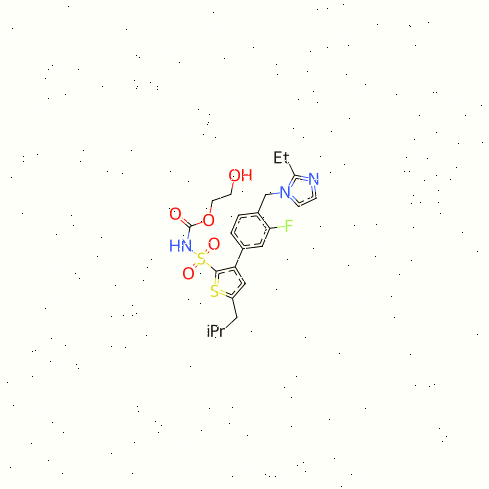 CCc1nccn1Cc1ccc(-c2cc(CC(C)C)sc2S(=O)(=O)NC(=O)OCCO)cc1F